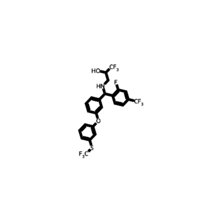 OC(CNC(c1cccc(Oc2cccc(SC(F)(F)F)c2)c1)c1ccc(C(F)(F)F)cc1F)C(F)(F)F